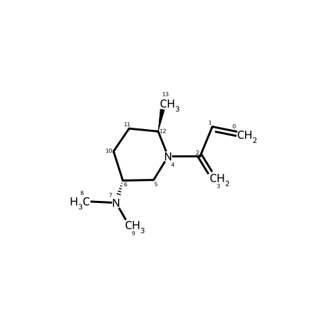 C=CC(=C)N1C[C@H](N(C)C)CC[C@H]1C